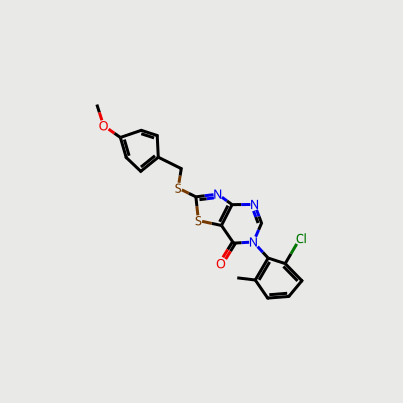 COc1ccc(CSc2nc3ncn(-c4c(C)cccc4Cl)c(=O)c3s2)cc1